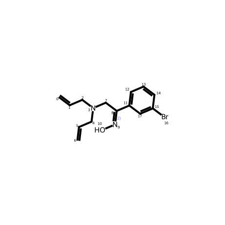 C=CCN(CC=C)C/C(=N\O)c1cccc(Br)c1